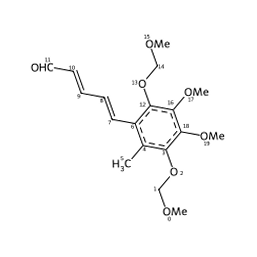 COCOc1c(C)c(C=CC=CC=O)c(OCOC)c(OC)c1OC